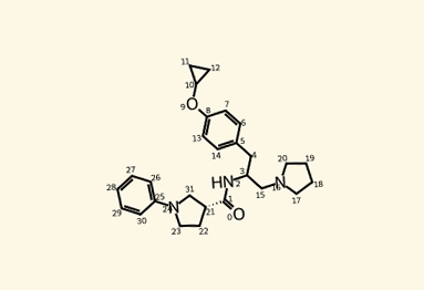 O=C(NC(Cc1ccc(OC2CC2)cc1)CN1CCCC1)[C@@H]1CCN(c2ccccc2)C1